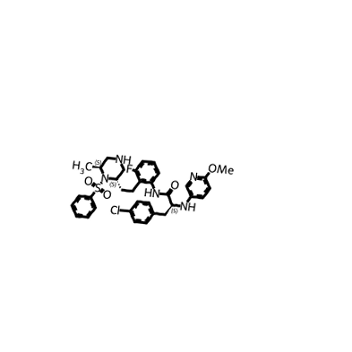 COc1ccc(N[C@@H](Cc2ccc(Cl)cc2)C(=O)Nc2cccc(F)c2CC[C@H]2CNC[C@H](C)N2S(=O)(=O)c2ccccc2)cn1